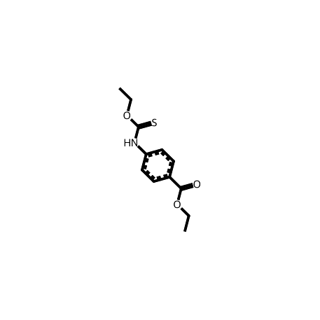 CCOC(=O)c1ccc(NC(=S)OCC)cc1